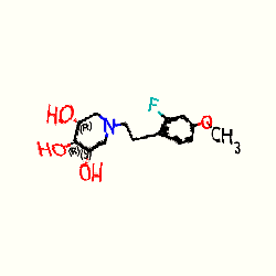 COc1ccc(CCN2C[C@@H](O)[C@H](O)[C@@H](O)C2)c(F)c1